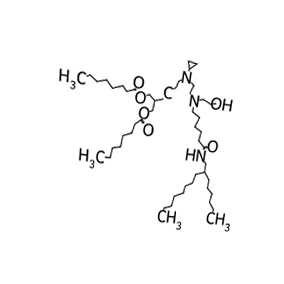 CCCCCCCCC(CCCCCC)CNC(=O)CCCCCN(CCO)CCN(CCCCC(COC(=O)CCCCCCC)COC(=O)CCCCCCC)C1CC1